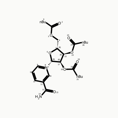 CCCCC(=O)OC[C@H]1O[C@@H]([n+]2cccc(C(N)=O)c2)[C@H](OC(=O)CCCC)[C@@H]1OC(=O)CCCC